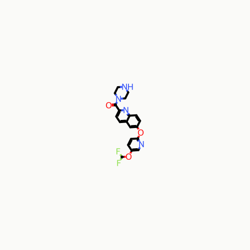 O=C(c1ccc2cc(Oc3ccc(OC(F)F)cn3)ccc2n1)N1CCNCC1